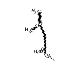 CCCCCOC(CCCCCCCCCCCC=CC(CCC)OOC)OCCCCC